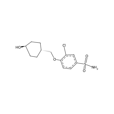 NS(=O)(=O)c1ccc(OC[C@H]2CC[C@H](O)CC2)c(Cl)c1